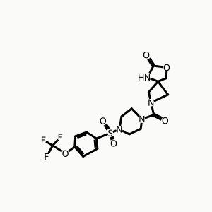 O=C1NC2(CO1)CN(C(=O)N1CCN(S(=O)(=O)c3ccc(OC(F)(F)F)cc3)CC1)C2